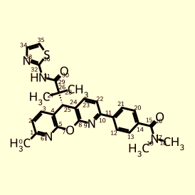 Cc1ccc2c(n1)Oc1nc(-c3ccc(C(=O)N(C)C)cc3)ccc1[C@H]2C(C)(C)C(=O)Nc1nccs1